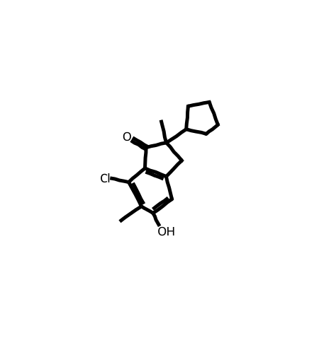 Cc1c(O)cc2c(c1Cl)C(=O)C(C)(C1CCCC1)C2